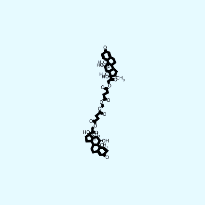 C[C@H]1CC2C3CCC4=CC(=O)C=C[C@]4(C)[C@@]3(F)[C@@H](O)C[C@]2(C)[C@@]1(O)C(=O)COC(=O)CCC(=O)OCOC(=O)CCC(=O)OCC(=O)[C@@]1(O)CCC2C3CCC4=CC(=O)C=C[C@]4(C)C3[C@@H](O)C[C@@]21C